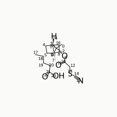 CC1(C)[C@@H]2CC[C@]1(C)C(OC(=O)CSC#N)C2.CCCCC(=O)O